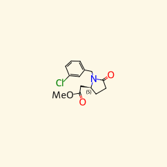 COC(=O)C[C@@H]1CCC(=O)N1Cc1cccc(Cl)c1